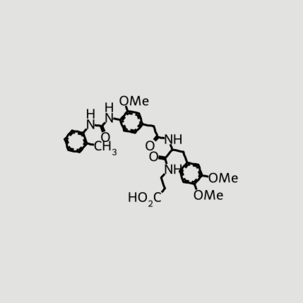 COc1cc(CC(=O)NC(Cc2ccc(OC)c(OC)c2)C(=O)NCCC(=O)O)ccc1NC(=O)Nc1ccccc1C